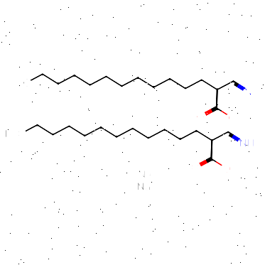 CCCCCCCCCCCCC(C=N)C(=O)[O-].CCCCCCCCCCCCC(C=N)C(=O)[O-].[Na+].[Na+]